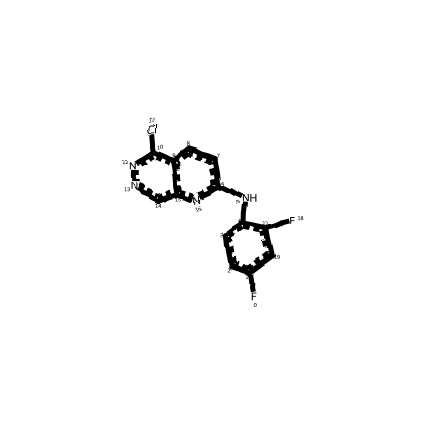 Fc1ccc(Nc2ccc3c(Cl)nncc3n2)c(F)c1